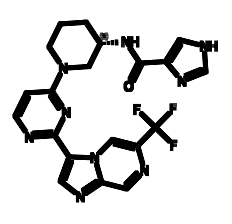 O=C(N[C@H]1CCCN(c2ccnc(-c3cnc4cnc(C(F)(F)F)cn34)n2)C1)c1c[nH]cn1